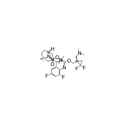 CN(C)C[C@@]1(COc2nc(N3C[C@H]4CC[C@](C)(C3)N4C(=O)OC(C)(C)C)c3cc(F)cc(F)c3n2)CC1(F)F